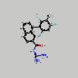 Cc1c(F)cc(F)c(-c2cccc3ccc(C(=O)N=C(N)N)cc23)c1F